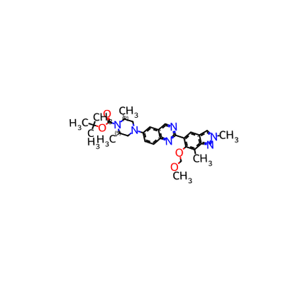 COCOc1c(-c2ncc3cc(N4C[C@@H](C)N(C(=O)OC(C)(C)C)[C@@H](C)C4)ccc3n2)cc2cn(C)nc2c1C